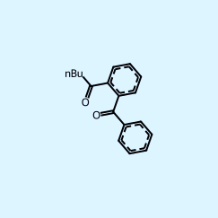 CCCCC(=O)c1ccccc1C(=O)c1ccccc1